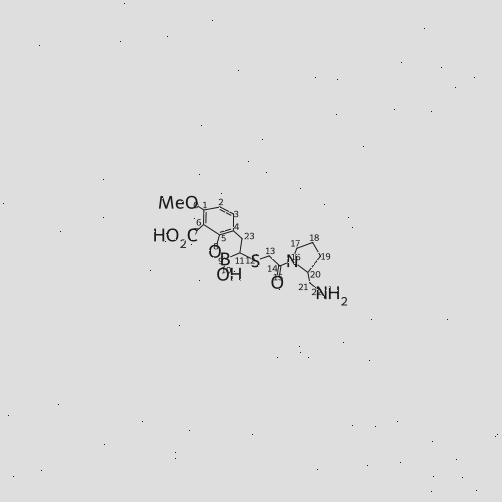 COc1ccc2c(c1C(=O)O)OB(O)C(SCC(=O)N1CCCC1CN)C2